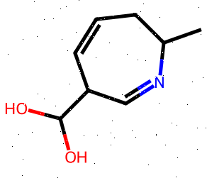 CC1CC=CC(C(O)O)C=N1